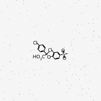 CC(Oc1ccc(S(C)(=O)=O)cc1Cl)(C(=O)O)c1ccc(Cl)cc1